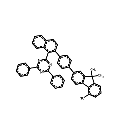 CC1(C)c2cc(-c3ccc(-c4ccc5ccccc5c4-c4nc(-c5ccccc5)nc(-c5ccccc5)n4)cc3)ccc2-c2c(C#N)cccc21